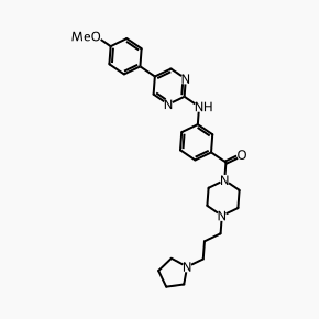 COc1ccc(-c2cnc(Nc3cccc(C(=O)N4CCN(CCCN5CCCC5)CC4)c3)nc2)cc1